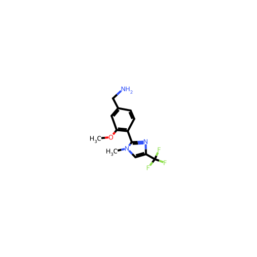 COc1cc(CN)ccc1-c1nc(C(F)(F)F)cn1C